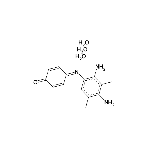 Cc1cc(N=C2C=CC(=O)C=C2)c(N)c(C)c1N.O.O.O